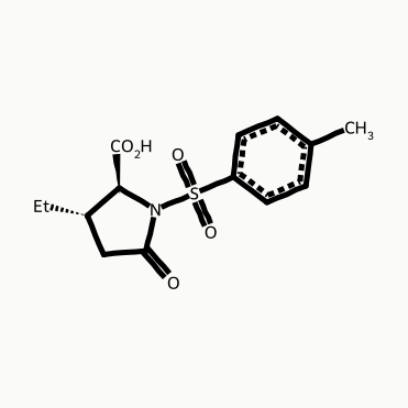 CC[C@H]1CC(=O)N(S(=O)(=O)c2ccc(C)cc2)[C@@H]1C(=O)O